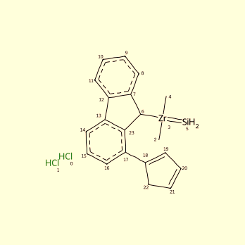 Cl.Cl.[CH3][Zr]([CH3])(=[SiH2])[CH]1c2ccccc2-c2cccc(C3=CC=CC3)c21